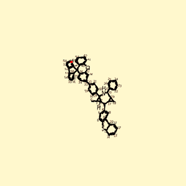 CC1[C@H]2C(c3ccc4c(c3)C3C=CC=CC3S4)C3CC3C(c3ccccc3)NC12c1ccc(-c2ccc3c(c2)Oc2ccccc2C32c3ccccc3-c3ccccc32)cc1